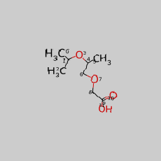 CC(C)OC(C)COCC(=O)O